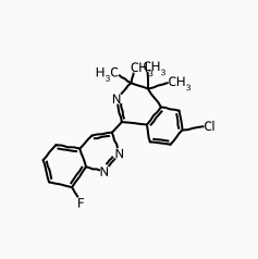 CC1(C)N=C(c2cc3cccc(F)c3nn2)c2ccc(Cl)cc2C1(C)C